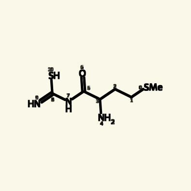 CSCCC(N)C(=O)NC(=N)S